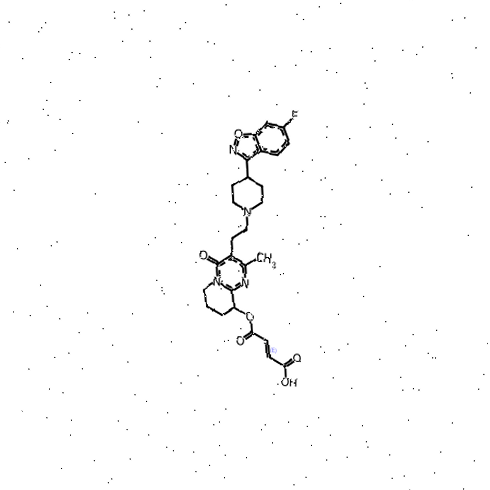 Cc1nc2n(c(=O)c1CCN1CCC(c3noc4cc(F)ccc34)CC1)CCCC2OC(=O)/C=C/C(=O)O